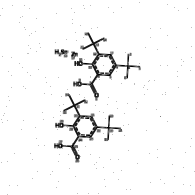 CC(C)(C)c1cc(C(=O)O)c(O)c(C(C)(C)C)c1.CC(C)(C)c1cc(C(=O)O)c(O)c(C(C)(C)C)c1.[SnH2].[Zn]